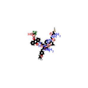 CSC[C@H](N)C(=O)NCC(=O)N[C@@H](CC(C)C)C(=O)N1CCC[C@H]1C(=O)[N+](CCCNc1cccc2c1C(=O)c1ccccc1C2=O)(C(=O)[C@H](C)N)C(=O)[C@@H](N)Cc1ccc(OC(C)(C)C)cc1.O=C(O)C(F)(F)F